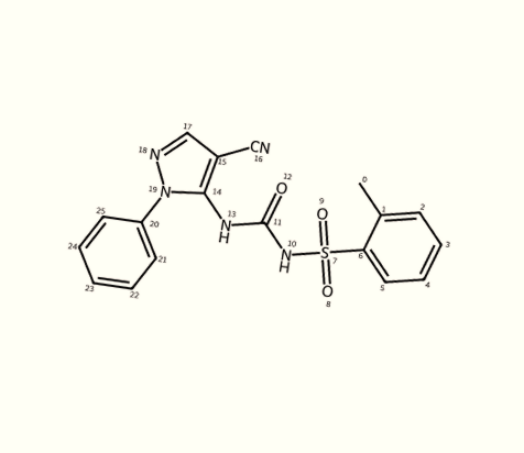 Cc1ccccc1S(=O)(=O)NC(=O)Nc1c(C#N)cnn1-c1ccccc1